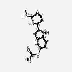 CNc1nccc(-c2cc3cc(OC(=O)O)ccc3[nH]2)n1